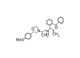 C=CC(NCC(C)N1CCOC(c2ccc(SC)cc2)C1)c1ccccc1C(=O)c1ccccc1